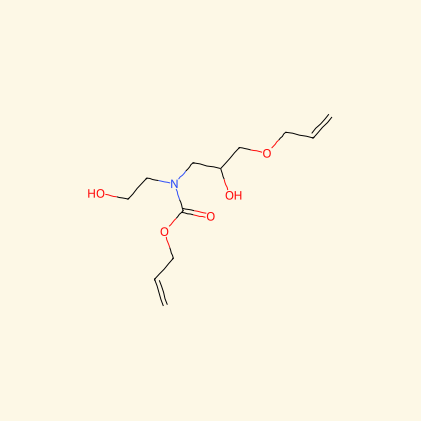 C=CCOCC(O)CN(CCO)C(=O)OCC=C